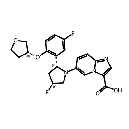 O=C(O)c1cnc2ccc(N3C[C@@H](F)C[C@@H]3c3cc(F)ccc3O[C@@H]3CCOC3)cn12